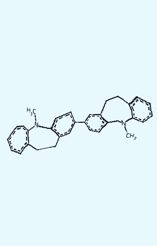 CN1c2ccccc2CCc2cc(-c3ccc4c(c3)CCc3ccccc3N4C)ccc21